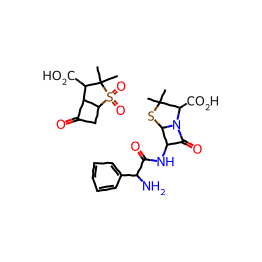 CC1(C)C(C(=O)O)C2C(=O)CC2S1(=O)=O.CC1(C)SC2C(NC(=O)C(N)c3ccccc3)C(=O)N2C1C(=O)O